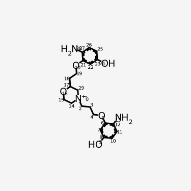 C[N+]1(CCCOc2cc(O)ccc2N)CCOC(CCOc2cc(O)ccc2N)C1